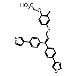 Cc1cc(SCC=C(c2ccc(-c3ccsc3)cc2)c2ccc(-c3ccsc3)cc2)ccc1OCC(=O)O